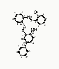 Oc1ccccc1C=Nc1ccccc1N=Cc1cc(-c2ccccc2)ccc1O